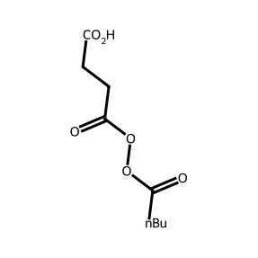 CCCCC(=O)OOC(=O)CCC(=O)O